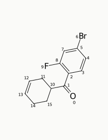 O=C(c1ccc(Br)cc1F)C1CC=CCC1